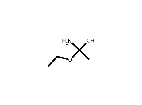 CCOC(C)(N)O